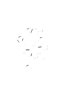 CC[C@H](C)[C@H](NC(=O)[C@@H](C[C@H](O)[C@H](CC(C)C)NC(=O)[C@H](CCC(N)=O)NC(=O)OCc1ccccc1)C(C)C)C(=O)N[C@@H](Cc1c[nH]cn1)C(=O)OC